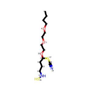 CCCCOCCOCCOC(CCCNS)SC#N